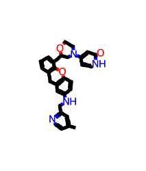 Cc1ccnc(CNc2ccc3c(c2)Cc2cccc(C4CN(c5cc[nH]c(=O)c5)CCO4)c2O3)c1